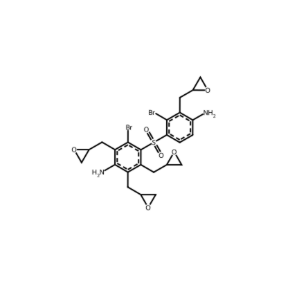 Nc1ccc(S(=O)(=O)c2c(Br)c(CC3CO3)c(N)c(CC3CO3)c2CC2CO2)c(Br)c1CC1CO1